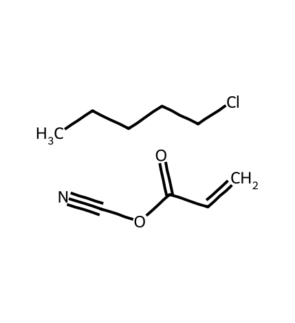 C=CC(=O)OC#N.CCCCCCl